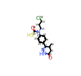 CC1CC(=O)NN=C1c1ccc(N(CCCCl)C(=O)S)cc1